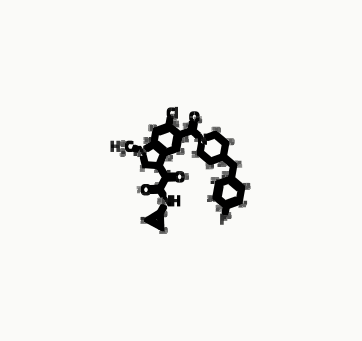 CN1CC(C(=O)C(=O)NC2CC2)c2cc(C(=O)N3CCC(Cc4ccc(F)cc4)CC3)c(Cl)cc21